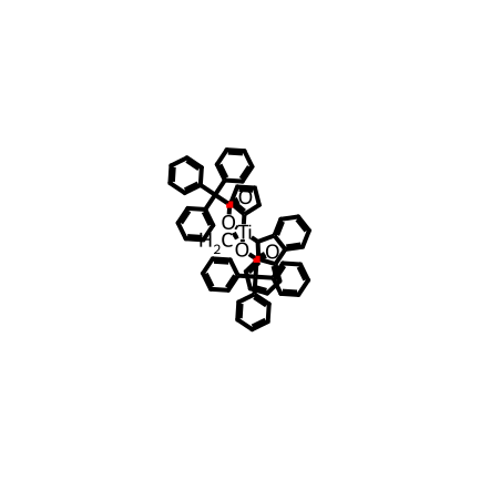 [CH2]=[Ti]([O]C(=O)C(c1ccccc1)(c1ccccc1)c1ccccc1)([O]C(=O)C(c1ccccc1)(c1ccccc1)c1ccccc1)([C]1=CC=CC1)[CH]1c2ccccc2-c2ccccc21